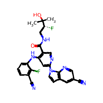 CC(C)(O)[C@H](F)CNC(=O)c1cnc(-n2ccc3cc(C#N)cnc32)cc1Nc1cccc(C#N)c1F